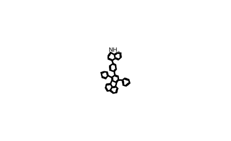 Nc1ccc(-c2ccc(-c3cc(-c4ccccc4)c4c(c3-c3ccccc3)-c3cccc5cccc-4c35)cc2)c2ccccc12